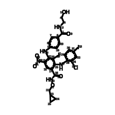 O=C(NCCO)c1ccc(Nc2c([N+](=O)[O-])cc(C(=O)NOCC3CC3)c(Nc3ccc(I)cc3Cl)c2F)cc1